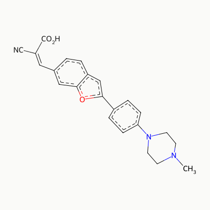 CN1CCN(c2ccc(-c3cc4ccc(C=C(C#N)C(=O)O)cc4o3)cc2)CC1